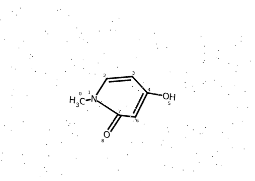 Cn1ccc(O)[c]c1=O